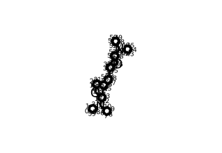 c1ccc(N(c2ccccc2)c2ccc3c(c2)Oc2cccc4c2c-3cc2ccc(-c3ccc5c(c3)oc3cc(N(c6ccccc6)c6ccccc6)ccc35)cc24)cc1